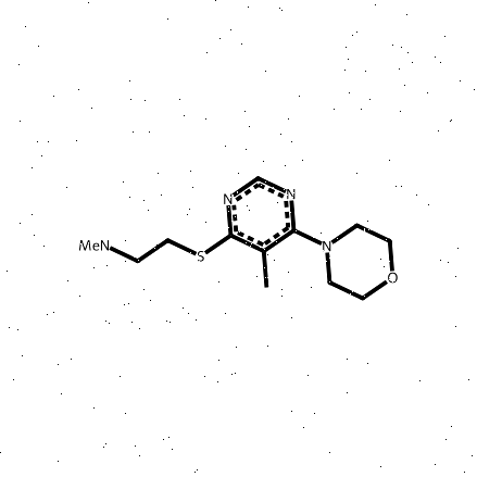 CNCCSc1ncnc(N2CCOCC2)c1C